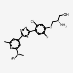 Cc1cc(-c2nnc(-c3cc(F)c(OC[C@@H](N)CO)cc3Cl)s2)cc(N(C)C(C)C)n1